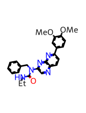 CCNC(=O)N(Cc1ccccc1)c1cnc2ccc(-c3ccc(OC)c(OC)c3)nc2n1